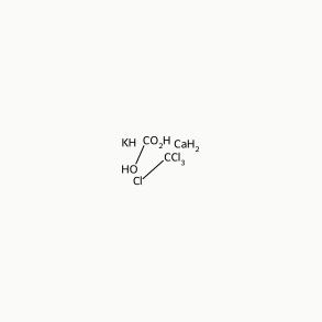 ClC(Cl)(Cl)Cl.O=C(O)O.[CaH2].[KH]